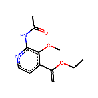 C=C(OCC)c1ccnc(NC(C)=O)c1OC